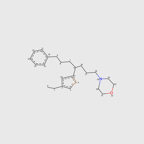 CCc1csc(C(CCCc2ccccc2)CCCN2CCOCC2)c1